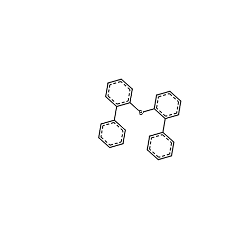 [B](c1ccccc1-c1ccccc1)c1ccccc1-c1ccccc1